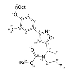 CCCCCCCCOc1ccc(-c2noc([C@@H]3C[C@H](F)CN3C(=O)OC(C)(C)C)n2)cc1C(F)(F)F